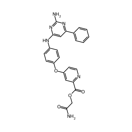 NC(=O)COC(=O)c1cc(Oc2ccc(Nc3cc(-c4ccccc4)nc(N)n3)cc2)ccn1